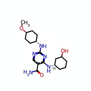 CO[C@H]1CC[C@H](Nc2ncc(C(N)=O)c(N[C@H]3CCCC(O)C3)n2)CC1